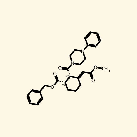 COC(=O)C=C1CCC[C@H](C(=O)OCc2ccccc2)[C@@H]1C(=O)N1CCN(c2ccccc2)CC1